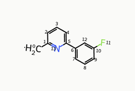 [CH2]c1cccc(-c2cccc(F)c2)n1